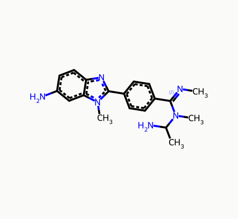 C/N=C(/c1ccc(-c2nc3ccc(N)cc3n2C)cc1)N(C)C(C)N